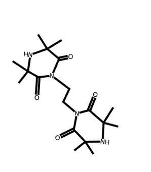 CC1(C)NC(C)(C)C(=O)N(CCN2C(=O)C(C)(C)NC(C)(C)C2=O)C1=O